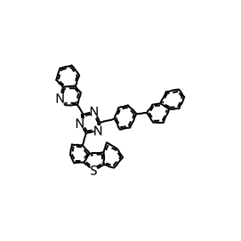 c1ccc2cc(-c3ccc(-c4nc(-c5cnc6ccccc6c5)nc(-c5cccc6sc7ccccc7c56)n4)cc3)ccc2c1